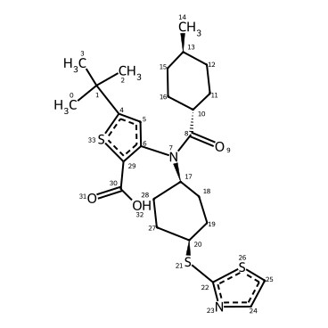 CC(C)(C)c1cc(N(C(=O)[C@H]2CC[C@H](C)CC2)[C@H]2CC[C@@H](Sc3nccs3)CC2)c(C(=O)O)s1